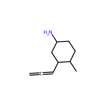 C=C=CC1CC(N)CCC1C